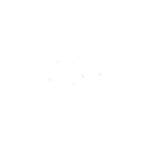 CCCC[C@H](CC)C(C)(C)n1ccnc1